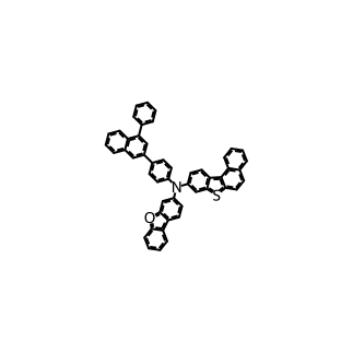 c1ccc(-c2cc(-c3ccc(N(c4ccc5c(c4)oc4ccccc45)c4ccc5c(c4)sc4ccc6ccccc6c45)cc3)cc3ccccc23)cc1